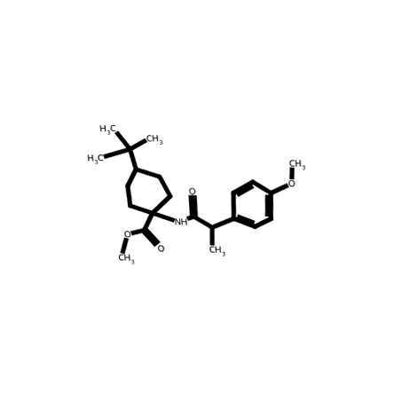 COC(=O)C1(NC(=O)C(C)c2ccc(OC)cc2)CCC(C(C)(C)C)CC1